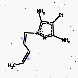 C/C=C\C=C/n1nc(N)c(CC)c1N